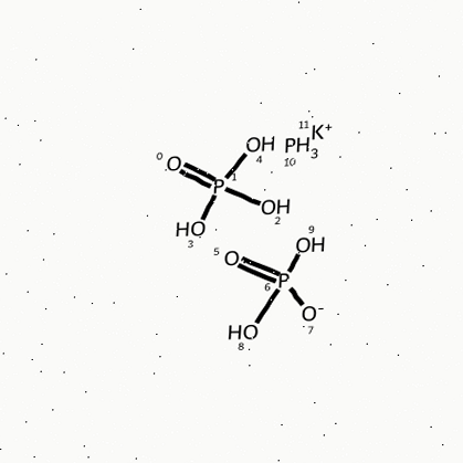 O=P(O)(O)O.O=P([O-])(O)O.P.[K+]